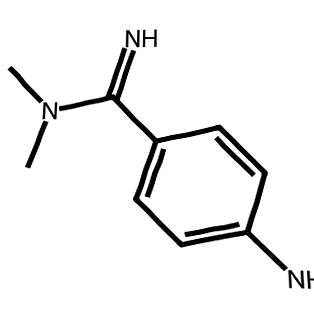 CN(C)C(=N)c1ccc([NH])cc1